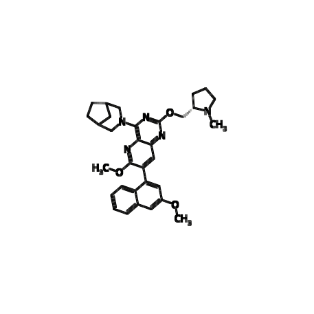 COc1cc(-c2cc3nc(OC[C@@H]4CCCN4C)nc(N4CC5CCC(C5)C4)c3nc2OC)c2ccccc2c1